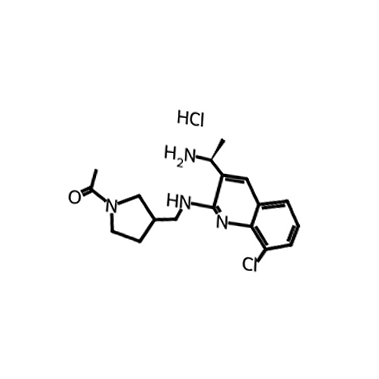 CC(=O)N1CCC(CNc2nc3c(Cl)cccc3cc2[C@H](C)N)C1.Cl